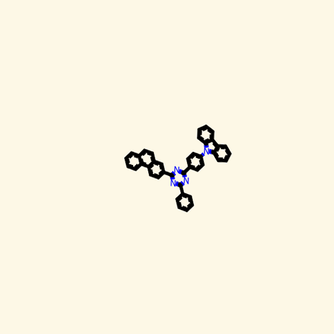 c1ccc(-c2nc(-c3ccc(-n4c5ccccc5c5ccccc54)cc3)nc(-c3ccc4c(ccc5ccccc54)c3)n2)cc1